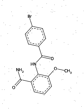 COc1cccc(C(N)=O)c1NC(=O)c1ccc(Br)cc1